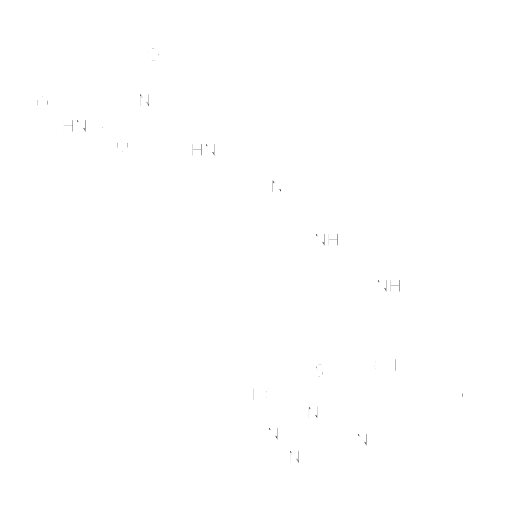 CC1=C(C#C/C(C=N)=C/NCCN2CCC(Nc3cccc4c3CN(C3CCC(=O)NC3=O)C4=O)CC2)SC2C1C(c1ccc(Cl)cc1)=NCc1nnc(C)n12